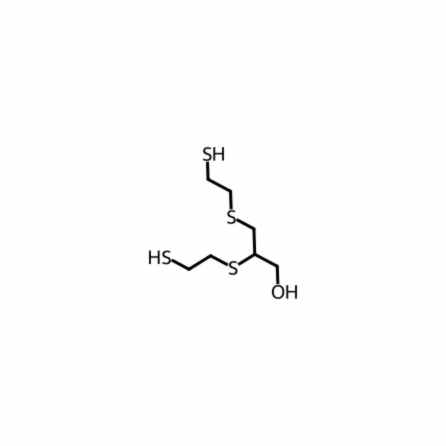 OCC(CSCCS)SCCS